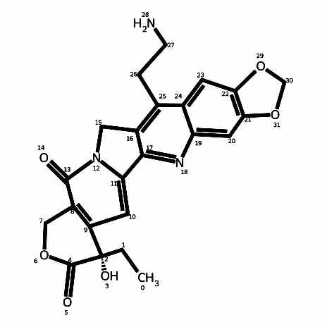 CC[C@@]1(O)C(=O)OCc2c1cc1n(c2=O)Cc2c-1nc1cc3c(cc1c2CCN)OCO3